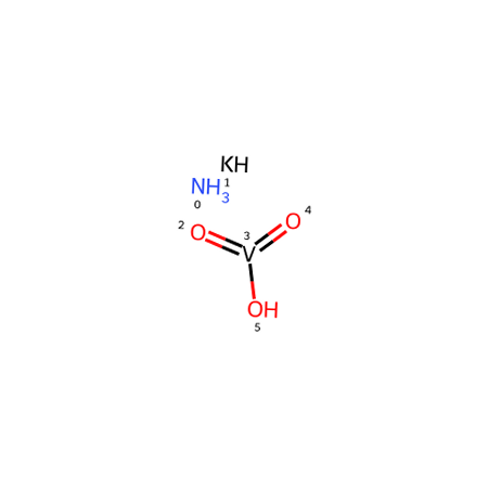 N.[KH].[O]=[V](=[O])[OH]